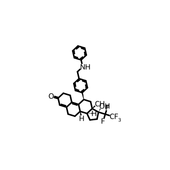 C[C@]12C[C@H](c3ccc(CNc4ccccc4)cc3)C3=C4CCC(=O)C=C4CC[C@H]3[C@@H]1CC[C@]2(O)C(F)(F)C(F)(F)F